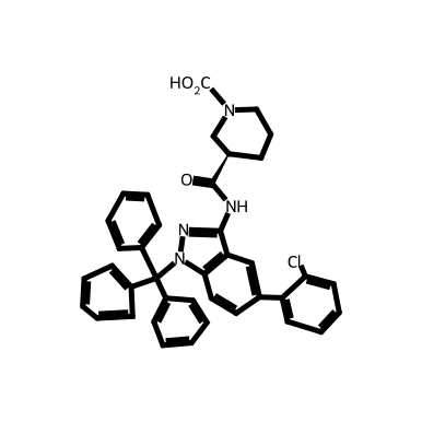 O=C(Nc1nn(C(c2ccccc2)(c2ccccc2)c2ccccc2)c2ccc(-c3ccccc3Cl)cc12)[C@@H]1CCCN(C(=O)O)C1